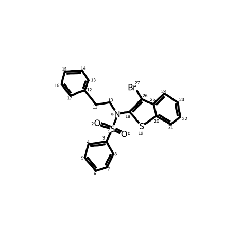 O=S(=O)(c1ccccc1)N(CCc1ccccc1)c1sc2ccccc2c1Br